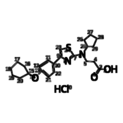 Cl.O=C(O)CCN(c1nc(-c2ccc(OC3CCCCC3)cc2)cs1)C1CCCC1